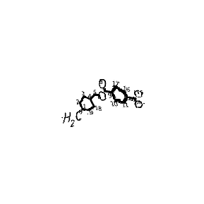 [CH2]C1CCC(COC(=O)c2ccc(C([O])=O)cc2)CC1